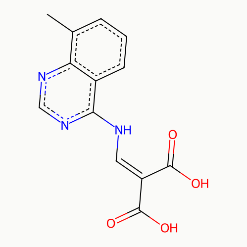 Cc1cccc2c(NC=C(C(=O)O)C(=O)O)ncnc12